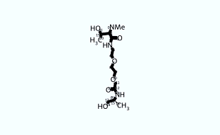 CNC(C(=O)NCCOCCOCC(=O)N[C@H](C)CO)C(C)O